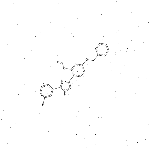 COc1cc(OCc2ccccc2)ccc1-c1c[nH]c(-c2cccc(F)c2)n1